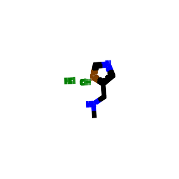 CNCc1cncs1.Cl.Cl